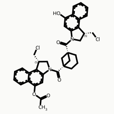 CC(=O)Oc1cc2c(c3ccccc13)[C@H](CCl)CN2C(=O)[C@]12CCC[C@](C(=O)N3C[C@@H](CCl)c4c3cc(O)c3ccccc43)(C1)C2